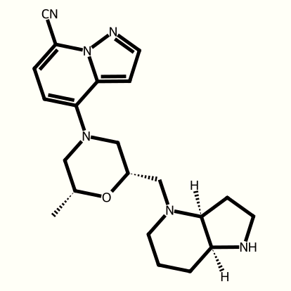 C[C@@H]1CN(c2ccc(C#N)n3nccc23)C[C@H](CN2CCC[C@@H]3NCC[C@@H]32)O1